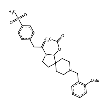 CC(C)COc1ccccc1CN1CCC2(CC1)CCN(C(=O)Cc1ccc(S(C)(=O)=O)cc1)C2OC(=O)C(F)(F)F